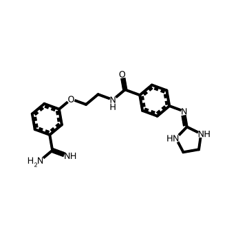 N=C(N)c1cccc(OCCNC(=O)c2ccc(N=C3NCCN3)cc2)c1